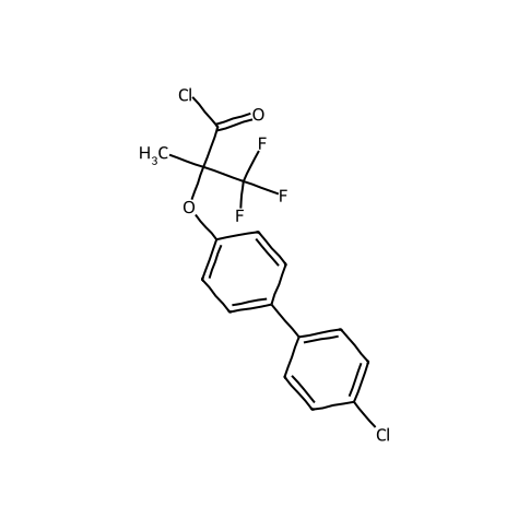 CC(Oc1ccc(-c2ccc(Cl)cc2)cc1)(C(=O)Cl)C(F)(F)F